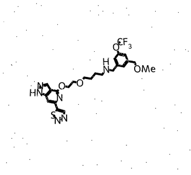 COCc1cc(CNCCCCOCCOc2nc(-c3cnns3)cc3[nH]ncc23)cc(OC(F)(F)F)c1